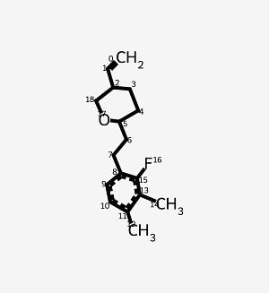 C=CC1CCC(CCc2ccc(C)c(C)c2F)OC1